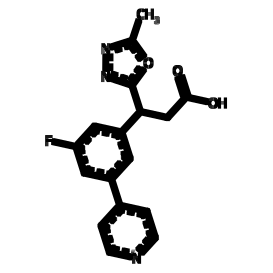 Cc1nnc(C(CC(=O)O)c2cc(F)cc(-c3ccncc3)c2)o1